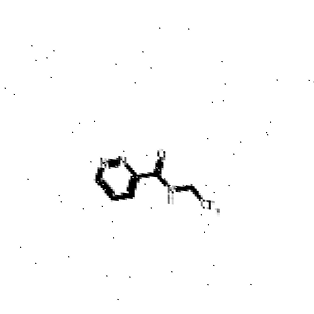 O=C(NCC(F)(F)F)c1cccnn1